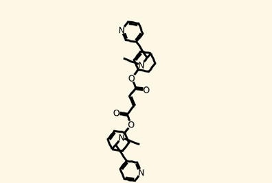 CN1C(c2cccnc2)C2C=CC1(OC(=O)/C=C/C(=O)OC13C=CC(CC1)C(c1cccnc1)N3C)CC2